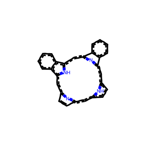 C1=Cc2cc3[nH]c(cc4nc(cc5ccc(cc1n2)[nH]5)-c1ccccc1-4)c1ccccc31